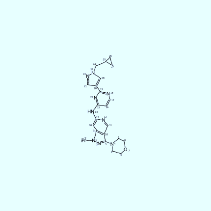 CC(C)n1nc(N2CCOCC2)c2cnc(Nc3ccnc(-c4cnn(CC5CC5)c4)n3)cc21